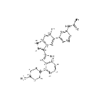 CC(C)C(=O)Nc1cncc(-c2cc3c(-c4nc5c(N6CCN(C)CC6)nccc5[nH]4)n[nH]c3cc2F)c1